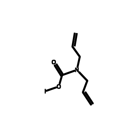 C=CCN(CC=C)C(=O)OI